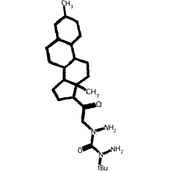 CC1CCC2C(CCC3C2CCC2(C)C(C(=O)CN(N)C(=O)N(N)C(C)(C)C)CCC32)C1